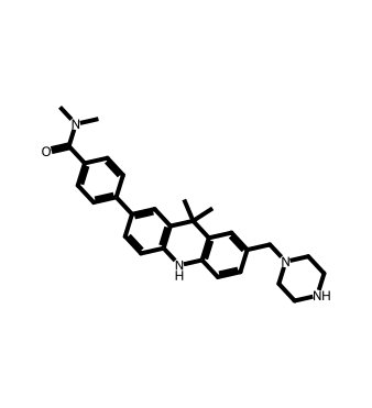 CN(C)C(=O)c1ccc(-c2ccc3c(c2)C(C)(C)c2cc(CN4CCNCC4)ccc2N3)cc1